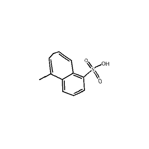 Cc1cccc2c(S(=O)(=O)O)cccc12